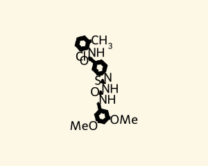 COc1cc(CNC(=O)Nc2nc3ccc(C(=O)Nc4c(C)cccc4Cl)cc3s2)cc(OC)c1